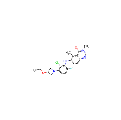 CCOC1CN(c2ccc(F)c(Nc3ccc4ncn(C)c(=O)c4c3C)c2Cl)C1